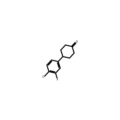 O=C1CCC(c2ccc(Cl)c(F)c2)CC1